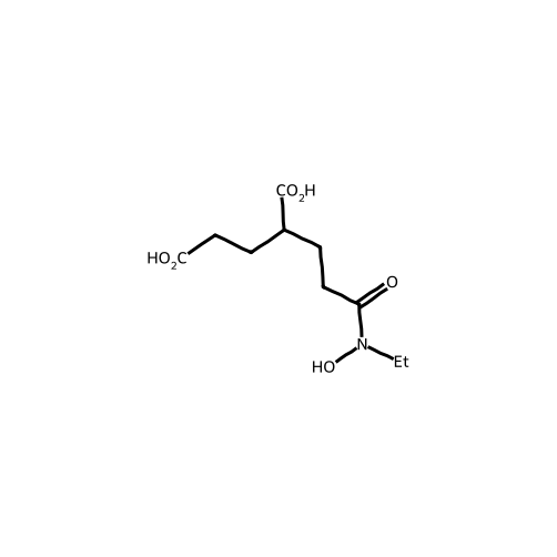 CCN(O)C(=O)CCC(CCC(=O)O)C(=O)O